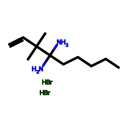 Br.Br.C=CC(C)(C)C(N)(N)CCCCC